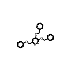 c1ccc(COc2cc(COc3ccccc3)nnc2OCc2ccccc2)cc1